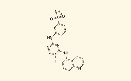 NS(=O)(=O)c1cccc(Nc2ncc(F)c(Nc3cccc4ncccc34)n2)c1